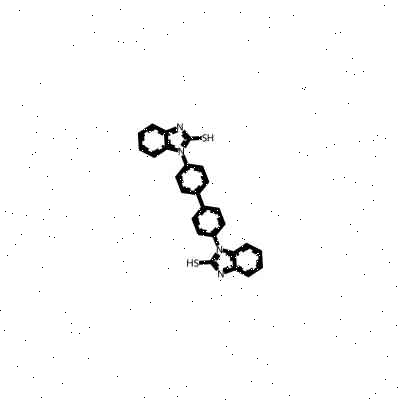 Sc1nc2ccccc2n1-c1ccc(-c2ccc(-n3c(S)nc4ccccc43)cc2)cc1